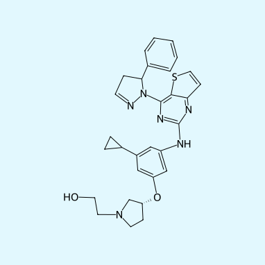 OCCN1CC[C@@H](Oc2cc(Nc3nc(N4N=CCC4c4ccccc4)c4sccc4n3)cc(C3CC3)c2)C1